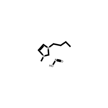 CCCCN1C=CN(C)C1.O=NO